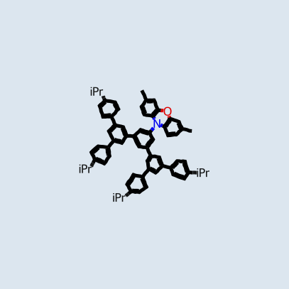 Cc1ccc2c(c1)Oc1cc(C)ccc1N2c1cc(-c2cc(-c3ccc(C(C)C)cc3)cc(-c3ccc(C(C)C)cc3)c2)cc(-c2cc(-c3ccc(C(C)C)cc3)cc(-c3ccc(C(C)C)cc3)c2)c1